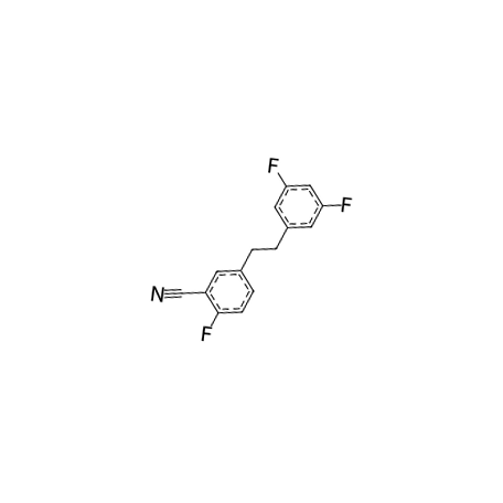 N#Cc1cc(CCc2cc(F)cc(F)c2)ccc1F